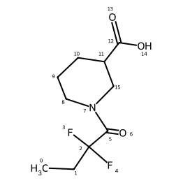 CCC(F)(F)C(=O)N1CCCC(C(=O)O)C1